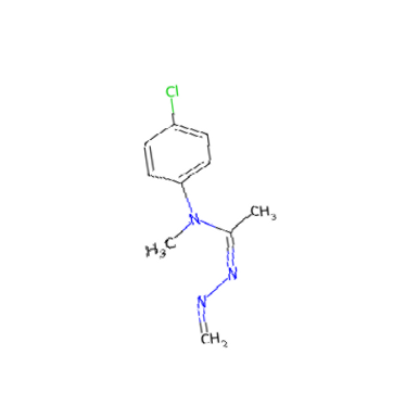 C=N/N=C(/C)N(C)c1ccc(Cl)cc1